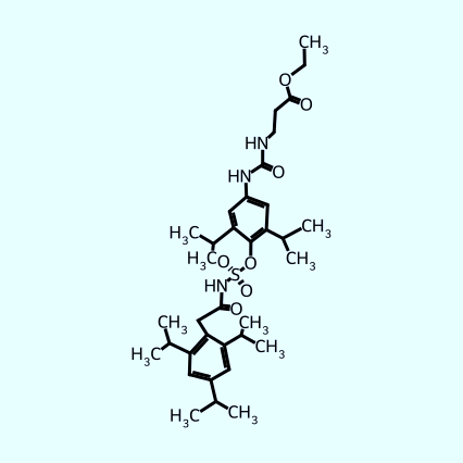 CCOC(=O)CCNC(=O)Nc1cc(C(C)C)c(OS(=O)(=O)NC(=O)Cc2c(C(C)C)cc(C(C)C)cc2C(C)C)c(C(C)C)c1